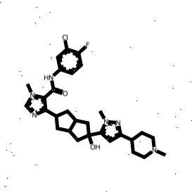 CN1CCC(c2cc(C3(O)CC4CC(c5ncn(C)c5C(=O)Nc5ccc(F)c(Cl)c5)CC4C3)n(C)n2)CC1